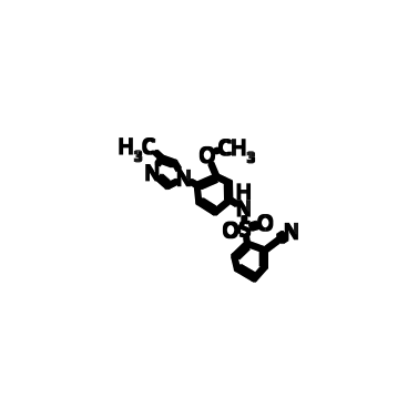 COc1cc(NS(=O)(=O)c2ccccc2C#N)ccc1-n1cnc(C)c1